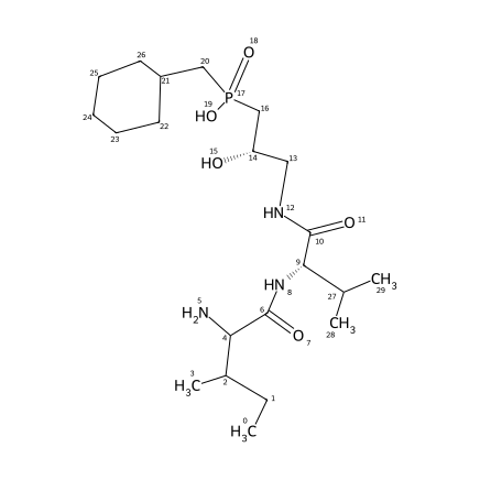 CCC(C)C(N)C(=O)N[C@H](C(=O)NC[C@H](O)CP(=O)(O)CC1CCCCC1)C(C)C